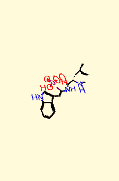 CN[C@@H](CC(C)C)C(=O)NC(Cc1c[nH]c2ccccc12)P(=O)(O)O